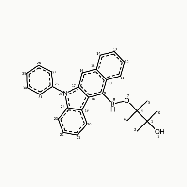 CC(C)(O)C(C)(C)OBc1c2ccccc2cc2c1c1ccccc1n2-c1ccccc1